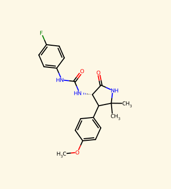 COc1ccc(C2[C@H](NC(=O)Nc3ccc(F)cc3)C(=O)NC2(C)C)cc1